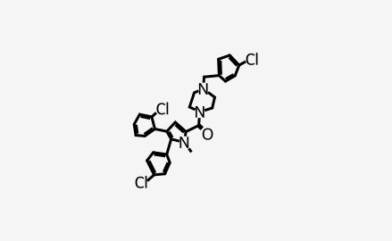 Cn1c(C(=O)N2CCN(Cc3ccc(Cl)cc3)CC2)cc(-c2ccccc2Cl)c1-c1ccc(Cl)cc1